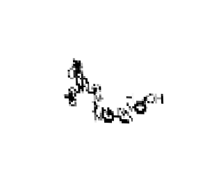 CC(=O)OCC1CN(C(=O)OC(C)(C)C)CCN1CC(=O)N(C)CCCN(C)c1ccc(-c2ccnc(Nc3cccc(CO)c3)n2)cn1